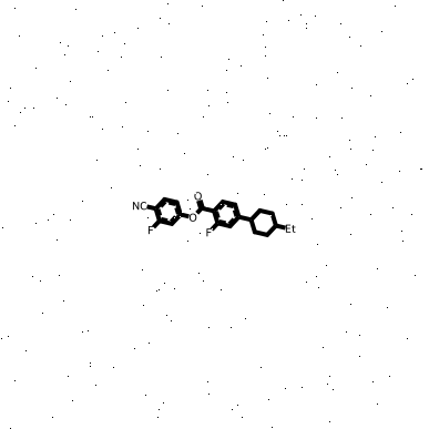 CCC1CCC(c2ccc(C(=O)Oc3ccc(C#N)c(F)c3)c(F)c2)CC1